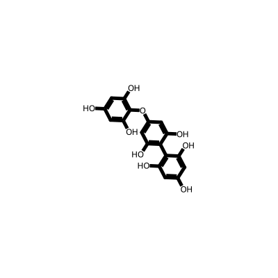 Oc1cc(O)c(Oc2cc(O)c(-c3c(O)cc(O)cc3O)c(O)c2)c(O)c1